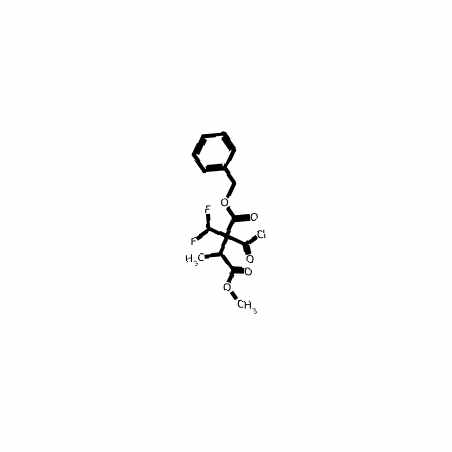 COC(=O)C(C)C(C(=O)Cl)(C(=O)OCc1ccccc1)C(F)F